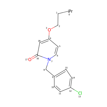 CC(C)CCOc1ccn(Cc2ccc(Cl)cc2)c(=O)c1